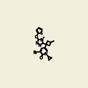 CC1CC(c2cc(Br)c(=O)n(C3CC3)c2)(C2N=NC(Oc3cccs3)N2C)C1